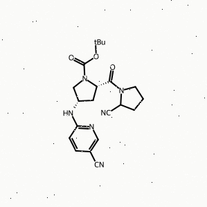 CC(C)(C)OC(=O)N1C[C@@H](Nc2ccc(C#N)cn2)C[C@H]1C(=O)N1CCCC1C#N